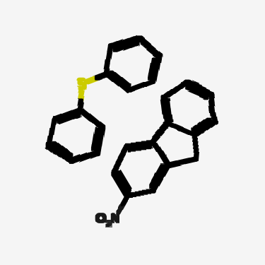 O=[N+]([O-])c1ccc2c(c1)Cc1ccccc1-2.c1ccc(Sc2ccccc2)cc1